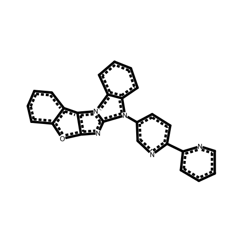 c1ccc(-c2ccc(-n3c4ccccc4n4c5c(nc34)oc3ccccc35)cn2)nc1